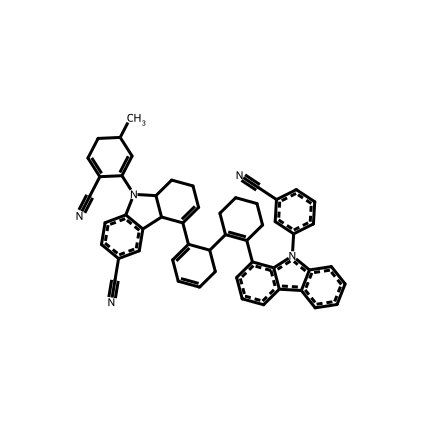 CC1C=C(N2c3ccc(C#N)cc3C3C(C4=CC=CCC4C4=C(c5cccc6c7ccccc7n(-c7cccc(C#N)c7)c56)CCCC4)=CCCC32)C(C#N)=CC1